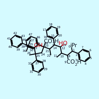 CC(C)C(c1ccccc1)C(C(=O)O)C(C)C(O)C(c1ccccc1)C(C)C(CC(C)(c1ccccc1)C(O)C(C)(C)c1ccccc1)(C(=O)O)c1ccccc1